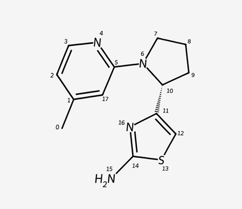 Cc1ccnc(N2CCC[C@@H]2c2csc(N)n2)c1